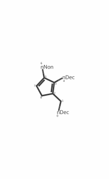 CCCCCCCCCCCC1=C(CCCCCCCCCC)C(CCCCCCCCC)=CC1